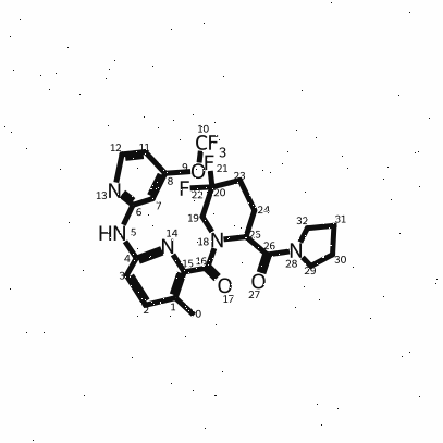 Cc1ccc(Nc2cc(OC(F)(F)F)ccn2)nc1C(=O)N1CC(F)(F)CCC1C(=O)N1CCCC1